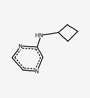 c1cnc(NC2CCC2)cn1